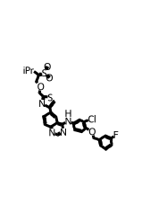 CC(C)C(COCc1nc(-c2ccc3ncnc(Nc4ccc(OCc5cccc(F)c5)c(Cl)c4)c3c2)cs1)=S(=O)=O